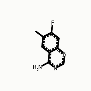 Cc1cc2c(N)ncnc2cc1F